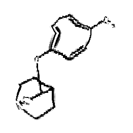 Cc1ccc(OC2CN3CCC2CC3)cc1